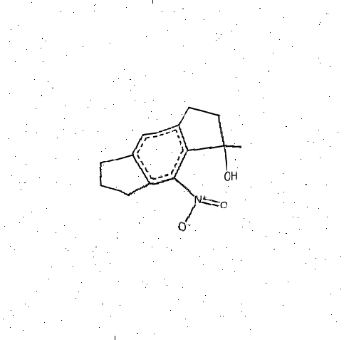 CC1(O)CCc2cc3c(c([N+](=O)[O-])c21)CCC3